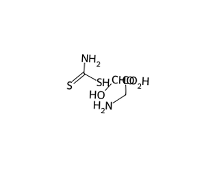 NC(=S)S.NCC(=O)O.O=CO